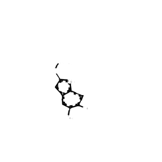 CCOC(=O)Oc1cc2cc(O)c(O)cc2[nH]1